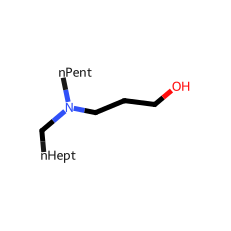 CCCCCCCCN(CCCO)CCCCC